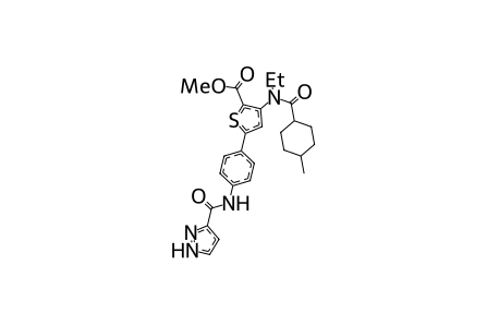 CCN(C(=O)C1CCC(C)CC1)c1cc(-c2ccc(NC(=O)c3cc[nH]n3)cc2)sc1C(=O)OC